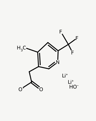 Cc1cc(C(F)(F)F)ncc1CC(=O)[O-].[Li+].[Li+].[OH-]